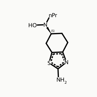 CCCN(O)[C@H]1CCc2nc(N)sc2C1